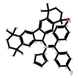 CC1(C)CCC(C)(C)c2cc3c(cc21)-c1cc2c(cc1[CH]3[Zr]([C]1=CC=CC1)=[C](c1ccc(Cl)cc1)c1ccc(Cl)cc1)C(C)(C)CCC2(C)C